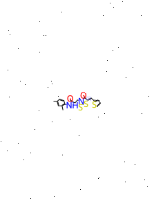 Cc1ccc(NC(=O)CCN2C(=O)/C(=C/c3cccs3)SC2=S)c(C)c1